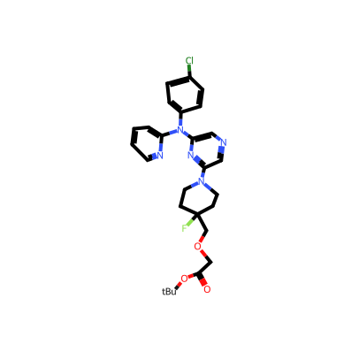 CC(C)(C)OC(=O)COCC1(F)CCN(c2cncc(N(c3ccc(Cl)cc3)c3ccccn3)n2)CC1